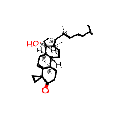 CC(C)CCC[C@@H](C)[C@H]1C[C@@H](O)[C@H]2[C@@H]3CC=C4C5(CC5)C(=O)CC[C@]4(C)[C@H]3CC[C@@]21C